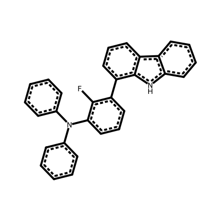 Fc1c(-c2cccc3c2[nH]c2ccccc23)cccc1N(c1ccccc1)c1ccccc1